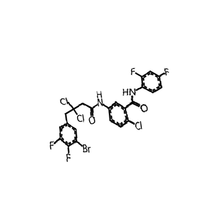 O=C(CC(Cl)(Cl)Cc1cc(F)c(F)c(Br)c1)Nc1ccc(Cl)c(C(=O)Nc2ccc(F)cc2F)c1